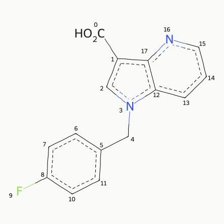 O=C(O)c1cn(Cc2ccc(F)cc2)c2cccnc12